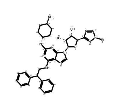 CCn1nnc([C@H]2O[C@@H](n3cnc4c(NCC(c5ccccc5)c5ccccc5)nc(N[C@H]5CC[C@H](N)CC5)nc43)[C@H](O)[C@@H]2O)n1